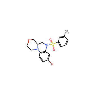 O=S(=O)(c1cccc(C(F)(F)F)c1)N1CC2COCCN2c2ccc(Br)cc21